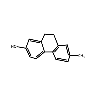 Cc1ccc2c(c1)CCc1cc(O)ccc1-2